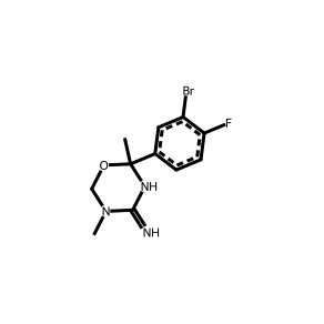 CN1COC(C)(c2ccc(F)c(Br)c2)NC1=N